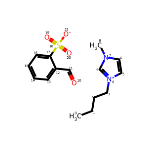 CCCC[n+]1ccn(C)c1.O=Cc1ccccc1S(=O)(=O)[O-]